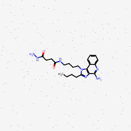 CCCCc1nc2c(N)nc3ccccc3c2n1CCCCNC(=O)CCC(=O)NN